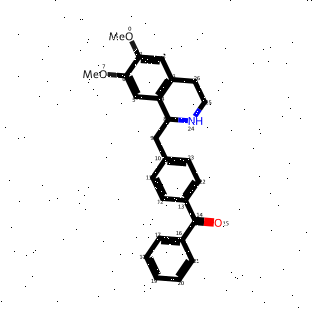 COc1cc2c(cc1OC)C(Cc1ccc(C(=O)c3ccccc3)cc1)NCC2